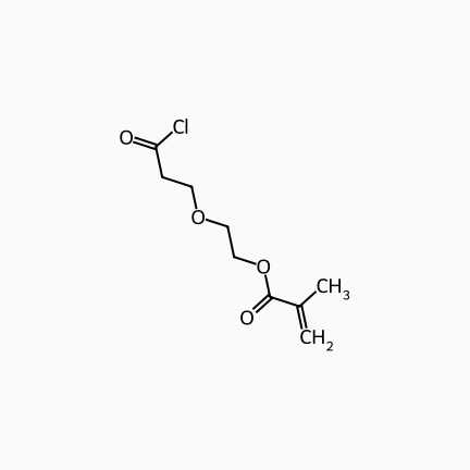 C=C(C)C(=O)OCCOCCC(=O)Cl